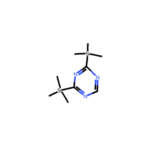 C[Si](C)(C)c1ncnc([Si](C)(C)C)n1